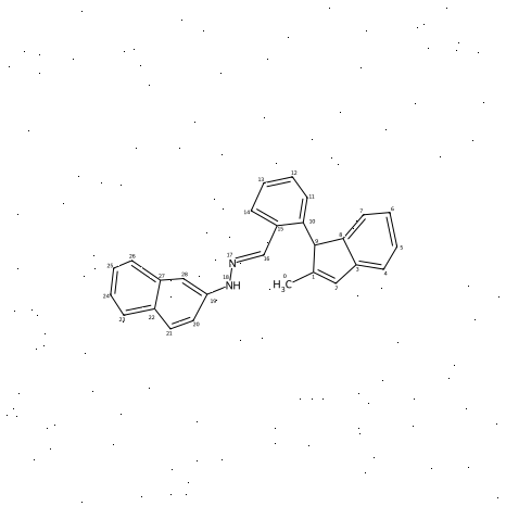 CC1=Cc2ccccc2C1c1ccccc1C=NNc1ccc2ccccc2c1